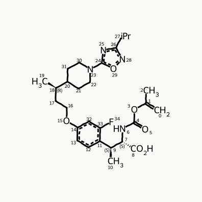 C=C(C)OC(=O)N[C@H](C(=O)O)[C@@H](C)c1ccc(OCC[C@@H](C)C2CCN(c3nc(C(C)C)no3)CC2)cc1F